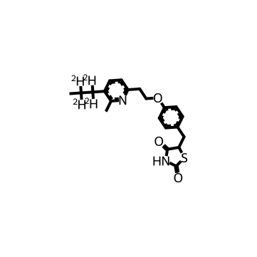 [2H]C([2H])(C)C([2H])([2H])c1ccc(CCOc2ccc(CC3SC(=O)NC3=O)cc2)nc1C